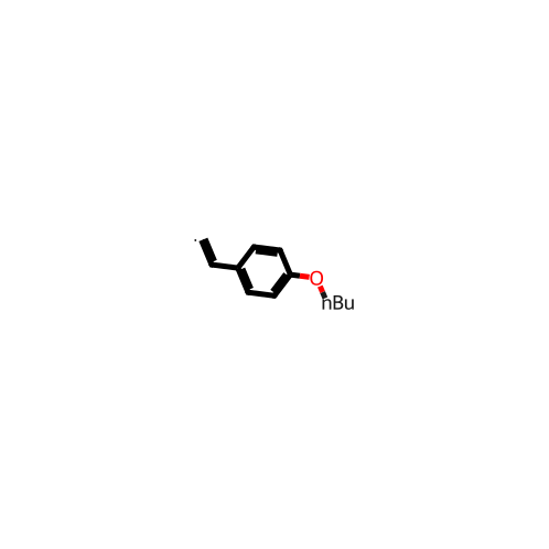 [CH]=Cc1ccc(OCCCC)cc1